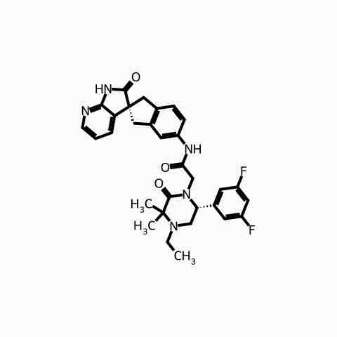 CCN1C[C@@H](c2cc(F)cc(F)c2)N(CC(=O)Nc2ccc3c(c2)C[C@@]2(C3)C(=O)Nc3ncccc32)C(=O)C1(C)C